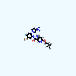 CN(C)C1CCN(c2cc(F)c(Br)cc2NC(=O)c2cnc(OCC[Si](C)(C)C)cc2C(F)(F)F)C1